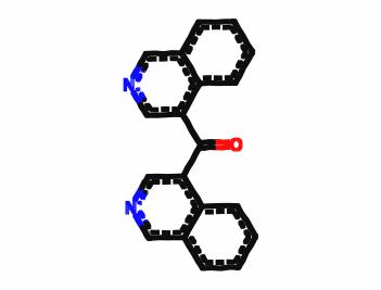 O=C(c1cncc2ccccc12)c1cncc2ccccc12